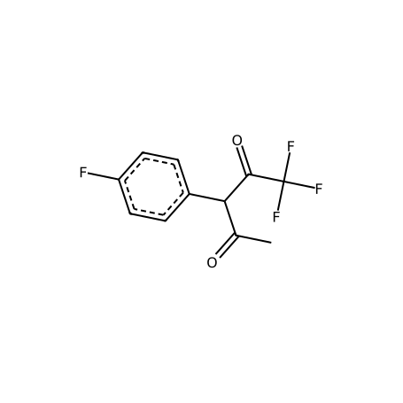 CC(=O)C(C(=O)C(F)(F)F)c1ccc(F)cc1